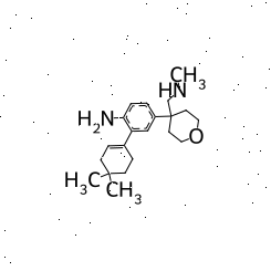 CNCC1(c2ccc(N)c(C3=CCC(C)(C)CC3)c2)CCOCC1